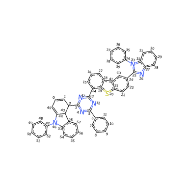 C1=CC(c2nc(-c3ccccc3)nc(-c3cccc4c3sc3ccc(-c5nc6ccccc6n5-c5ccccc5)cc34)n2)C2C(=C1)N(c1ccccc1)c1ccccc12